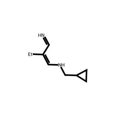 CC/C(C=N)=C/NCC1CC1